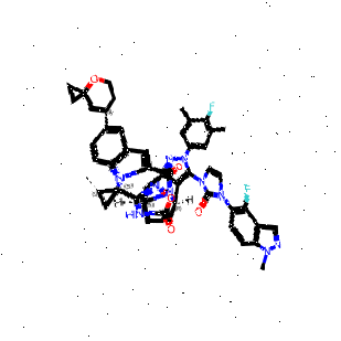 Cc1cc(-n2nc3c(c2-n2ccn(-c4ccc5c(cnn5C)c4F)c2=O)[C@H]2CC[C@@H](C3)N2C(=O)c2cc3cc([C@@H]4CCOC5(CC5)C4)ccc3n2[C@@]2(c3noc(=O)[nH]3)C[C@@H]2C)cc(C)c1F